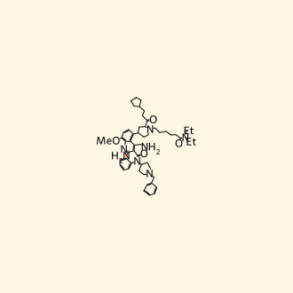 CCN(CC)C(=O)CCCCCN1CCC(c2ccc(OC)c3nc(N)c(C(=O)N(c4ccccc4)C4CCN(Cc5ccccc5)CC4)c(CN)c23)CC1C(=O)CCC1CCCC1